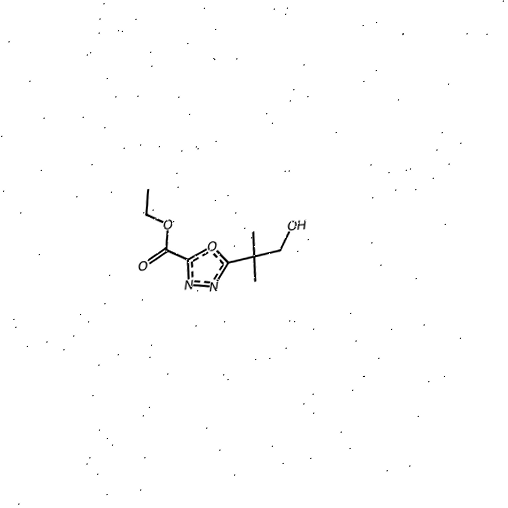 CCOC(=O)c1nnc(C(C)(C)CO)o1